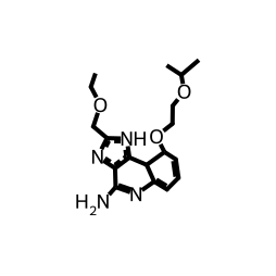 CCOCc1nc2c([nH]1)C1C(=CC=CC1OCCOC(C)C)N=C2N